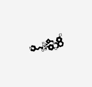 O=C(CCc1ccncc1)NS(=O)(=O)c1ccc2c(c1)N(CC1CCC1)CC1(CCCc3cc(Cl)ccc31)CO2